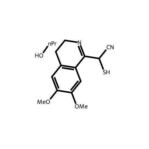 CCCO.COc1cc2c(cc1OC)C(C(S)C#N)=NCC2